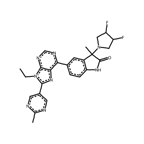 CCn1c(-c2cnc(C)nc2)nc2c(-c3ccc4c(c3)C(C)(N3CC(F)C(F)C3)C(=O)N4)ncnc21